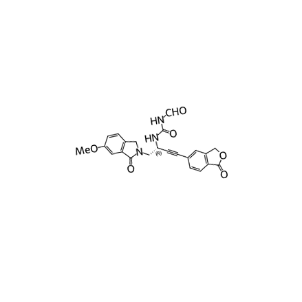 COc1ccc2c(c1)C(=O)N(C[C@@H](C#Cc1ccc3c(c1)COC3=O)NC(=O)NC=O)C2